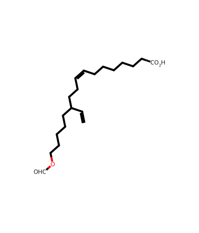 C=CC(CC/C=C\CCCCCCC(=O)O)CCCCCOC=O